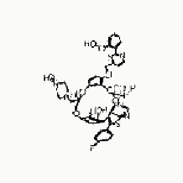 O=C(O)[C@H]1Cc2cc(ccc2OCc2ccnc(-c3ccccc3OO)n2)O[C@@H](CN2CCN(O)CC2)COc2ccc(c(O)c2Cl)-c2c(-c3ccc(F)cc3)sc3ncnc(c23)O1